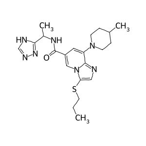 CCCSc1cnc2c(N3CCC(C)CC3)cc(C(=O)NC(C)c3nnc[nH]3)cn12